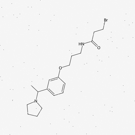 CC(c1cccc(OCCCNC(=O)CCBr)c1)N1CCCC1